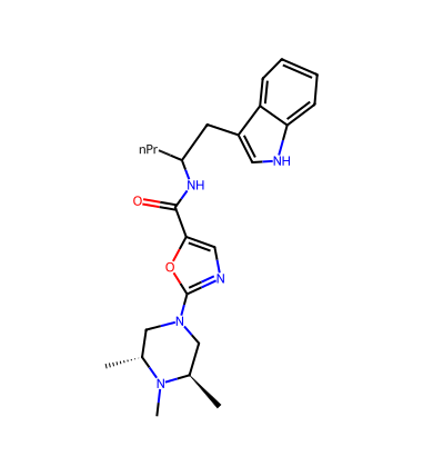 CCCC(Cc1c[nH]c2ccccc12)NC(=O)c1cnc(N2C[C@@H](C)N(C)[C@H](C)C2)o1